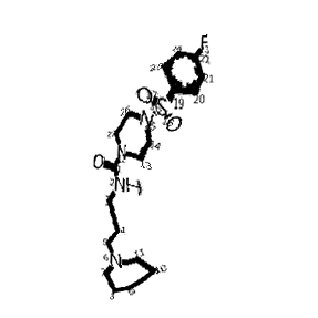 O=C(NCCCN1CCCCC1)N1CCN(S(=O)(=O)c2ccc(F)cc2)CC1